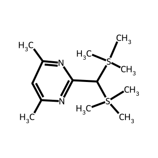 Cc1cc(C)nc(C(S(C)(C)C)S(C)(C)C)n1